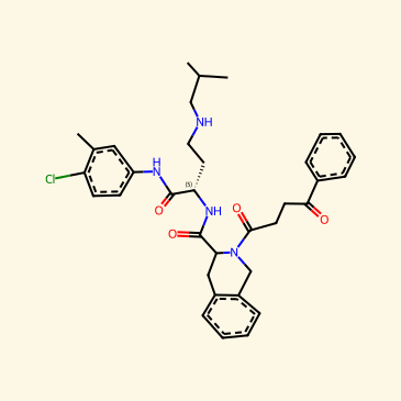 Cc1cc(NC(=O)[C@H](CCNCC(C)C)NC(=O)C2Cc3ccccc3CN2C(=O)CCC(=O)c2ccccc2)ccc1Cl